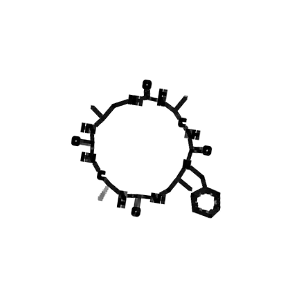 CC1CNC(=O)NC(C)CNC(=O)N(Cc2ccccc2)C(C)CNC(=O)N[C@H](C)CNC(=O)N1